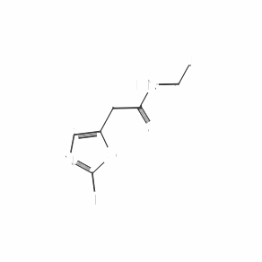 O=C(Cc1cnc(I)o1)NCI